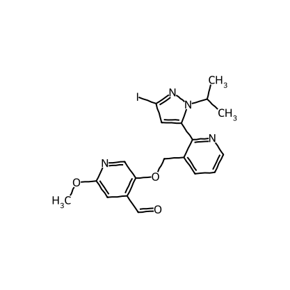 COc1cc(C=O)c(OCc2cccnc2-c2cc(I)nn2C(C)C)cn1